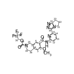 COc1cc2c(cc1C(=O)Nc1cccc(-c3nnc4n3CCC4)n1)CN(C(=O)OCC(F)(F)F)CC2